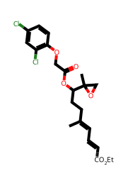 CCOC(=O)/C=C/C=C(\C)CCC(OC(=O)COc1ccc(Cl)cc1Cl)C1(C)CO1